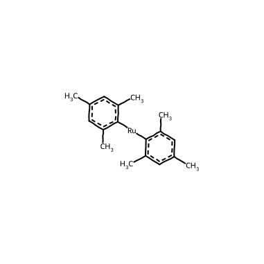 Cc1cc(C)[c]([Ru][c]2c(C)cc(C)cc2C)c(C)c1